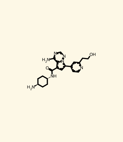 Nc1ncnn2c(-c3ccnc(CCO)c3)cc(C(=O)N[C@H]3CC[C@H](N)CC3)c12